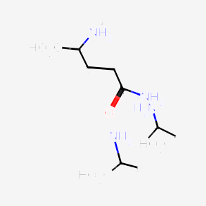 CC(N)C(=O)O.CC(N)C(=O)O.NC(=O)CCC(N)C(=O)O